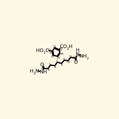 NNC(=O)CCCCCCCCC(=O)NN.O=C(O)c1cccc(C(=O)O)c1